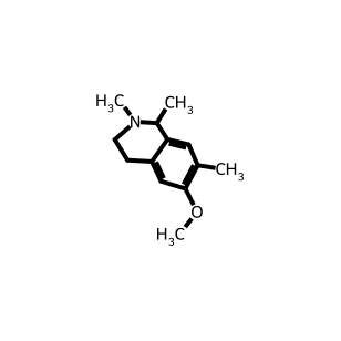 COc1cc2c(cc1C)C(C)N(C)CC2